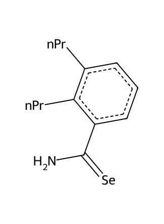 CCCc1cccc(C(N)=[Se])c1CCC